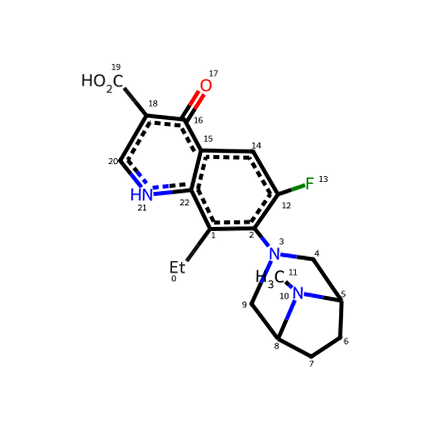 CCc1c(N2CC3CCC(C2)N3C)c(F)cc2c(=O)c(C(=O)O)c[nH]c12